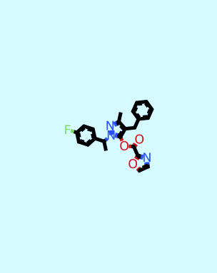 Cc1nn(C(C)c2ccc(F)cc2)c(OC(=O)c2ncco2)c1Cc1ccccc1